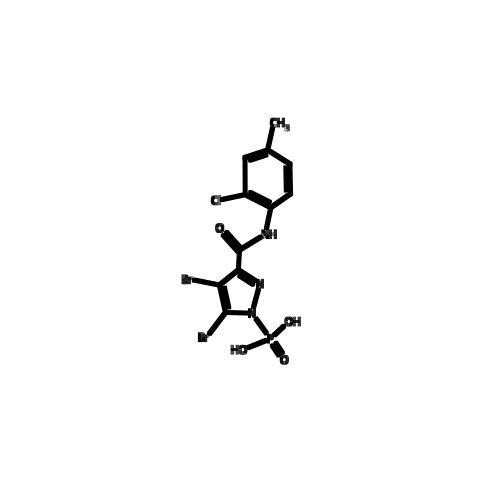 Cc1ccc(NC(=O)c2nn(P(=O)(O)O)c(Br)c2Br)c(Cl)c1